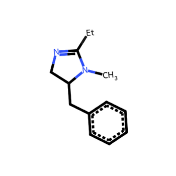 CCC1=NCC(Cc2ccccc2)N1C